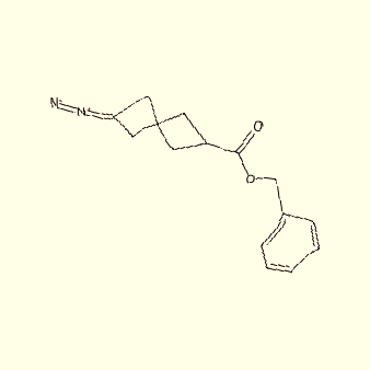 [N-]=[N+]=C1CC2(C1)CC(C(=O)OCc1ccccc1)C2